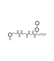 O=C(O)CC(NC(=O)CNC(=O)CCNC(=O)NCCc1cccc(Cl)c1)c1ccc(-c2ccccc2)cc1